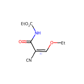 [C-]#[N+]/C(=C/OCC)C(=O)NC(=O)OCC